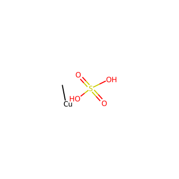 O=S(=O)(O)O.[CH3][Cu]